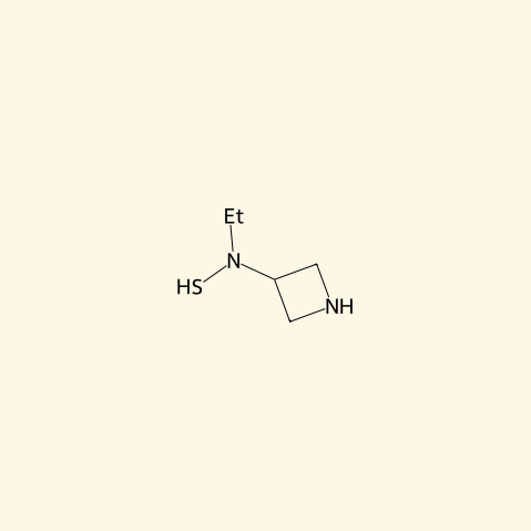 CCN(S)C1CNC1